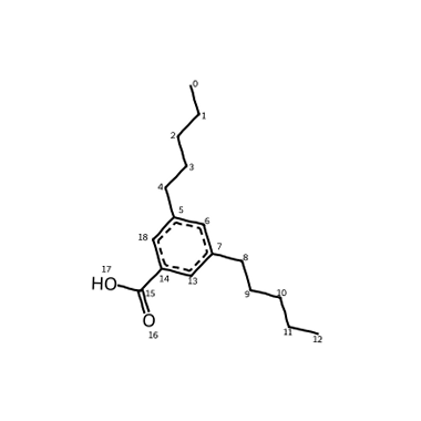 CCCCCc1cc(CCCCC)cc(C(=O)O)c1